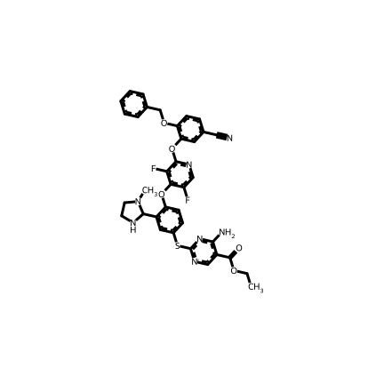 CCOC(=O)c1cnc(Sc2ccc(Oc3c(F)cnc(Oc4cc(C#N)ccc4OCc4ccccc4)c3F)c(C3NCCN3C)c2)nc1N